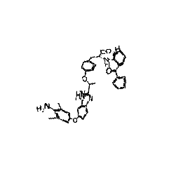 Cc1cc(Oc2ccc3nc(C(C)Oc4ccc(CC(Nc5ccccc5C(=O)c5ccccc5)C(=O)O)cc4)[nH]c3c2)cc(C)c1N